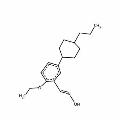 CCCC1CCC(c2ccc(OCC)c(C=NO)c2)CC1